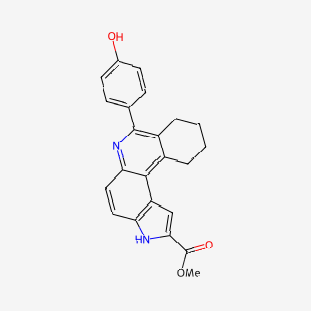 COC(=O)c1cc2c(ccc3nc(-c4ccc(O)cc4)c4c(c32)CCCC4)[nH]1